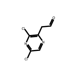 O=CCc1ncc(Cl)nc1Cl